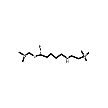 CN(C)CS[C@H](F)CCCCNCC[N+](C)(C)C